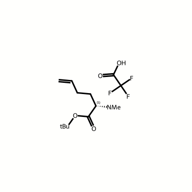 C=CCC[C@H](NC)C(=O)OC(C)(C)C.O=C(O)C(F)(F)F